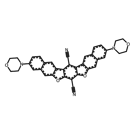 N#Cc1c2oc3cc4cc(N5CCOCC5)ccc4cc3c2c(C#N)c2c1oc1cc3cc(N4CCOCC4)ccc3cc12